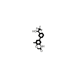 Cc1cc(-c2cccc(C(O)C(F)(F)F)c2)cc2c1OCC(=O)N2